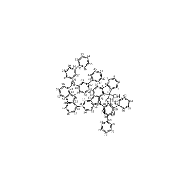 CC1(C)c2ccccc2-c2ccc3c4cc(-c5cccc6c5sc5c(N(c7cccc(-c8ccccc8)c7)c7cccc(-c8ccccc8)c7)cccc56)ccc4n(-c4nc(-c5ccccc5)nc(-c5ccccc5)n4)c3c21